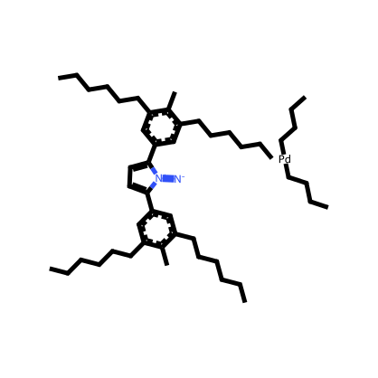 CCCCCCc1cc(C2=CC=C(c3cc(CCCCCC)c(C)c(CCCCCC)c3)[N+]2=[N-])cc(CCCCCC)c1C.CCC[CH2][Pd][CH2]CCC